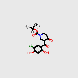 CC(C)(C)OC(=O)N1CCC(=O)C(C(=O)c2cc(Cl)c(O)cc2O)C1